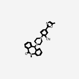 Cc1cnc(-c2ccc(N3CCN(C4c5ccccc5C(=O)N(C)c5ccccc54)CC3)c(C#N)c2)o1